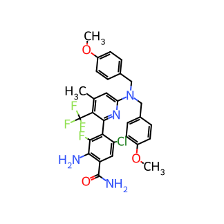 COc1ccc(CN(Cc2ccc(OC)cc2)c2cc(C)c(C(F)(F)F)c(-c3c(Cl)cc(C(N)=O)c(N)c3F)n2)cc1